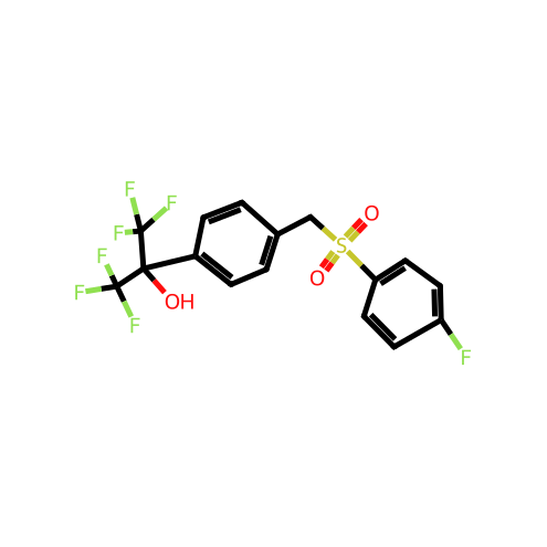 O=S(=O)(Cc1ccc(C(O)(C(F)(F)F)C(F)(F)F)cc1)c1ccc(F)cc1